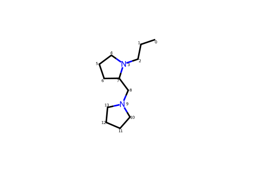 CCCN1CCCC1CN1CCCC1